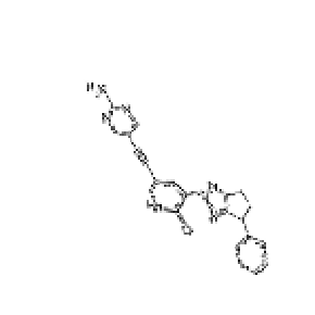 Nc1ncc(C#Cc2c[nH]c(=O)c(-n3nc4c(n3)C(c3ccccc3)CC4)c2)cn1